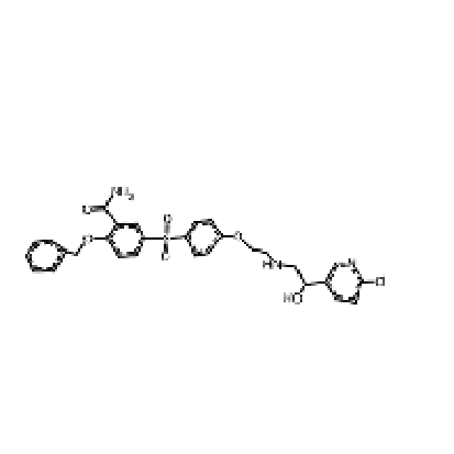 NC(=O)c1cc(S(=O)(=O)c2ccc(OCCNC[C@H](O)c3ccc(Cl)nc3)cc2)ccc1OCc1ccccc1